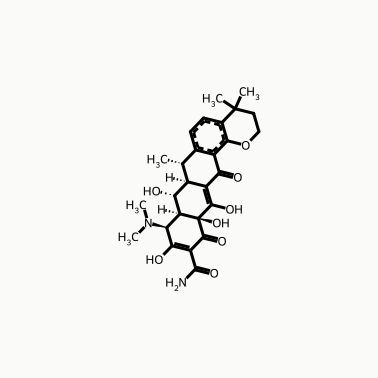 C[C@@H]1c2ccc3c(c2C(=O)C2=C(O)[C@]4(O)C(=O)C(C(N)=O)=C(O)[C@@H](N(C)C)[C@H]4[C@H](O)[C@H]21)OCCC3(C)C